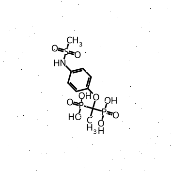 CC(Oc1ccc(NS(C)(=O)=O)cc1)(P(=O)(O)O)P(=O)(O)O